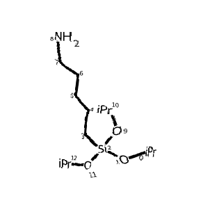 CC(C)O[Si](CCCCCN)(OC(C)C)OC(C)C